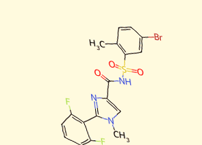 Cc1ccc(Br)cc1S(=O)(=O)NC(=O)c1cn(C)c(-c2c(F)cccc2F)n1